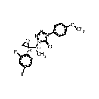 C[C@@H](n1nnn(-c2ccc(OC(F)(F)F)cc2)c1=O)[C@@]1(c2ccc(F)cc2F)CO1